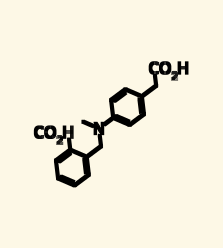 CN(Cc1ccccc1C(=O)O)c1ccc(CC(=O)O)cc1